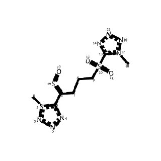 Cn1nnnc1C(CCCS(=O)(=O)c1nnnn1C)=S=O